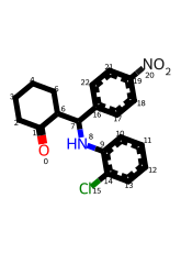 O=C1CCCCC1C(Nc1ccccc1Cl)c1ccc([N+](=O)[O-])cc1